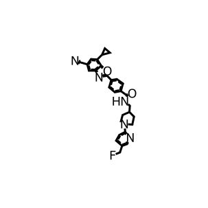 N#Cc1cc(C2CC2)c2oc(-c3ccc(C(=O)NCC4CCN(c5ccc(CF)cn5)CC4)cc3)nc2c1